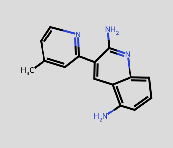 Cc1ccnc(-c2cc3c(N)cccc3nc2N)c1